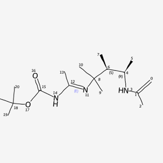 C=C(C)N[C@H](C)[C@H](C)C(C)(C)/N=C(\C)NC(=O)OC(C)(C)C